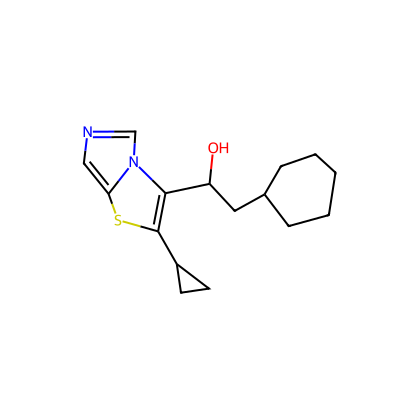 OC(CC1CCCCC1)c1c(C2CC2)sc2cncn12